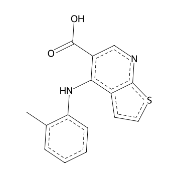 Cc1ccccc1Nc1c(C(=O)O)cnc2sccc12